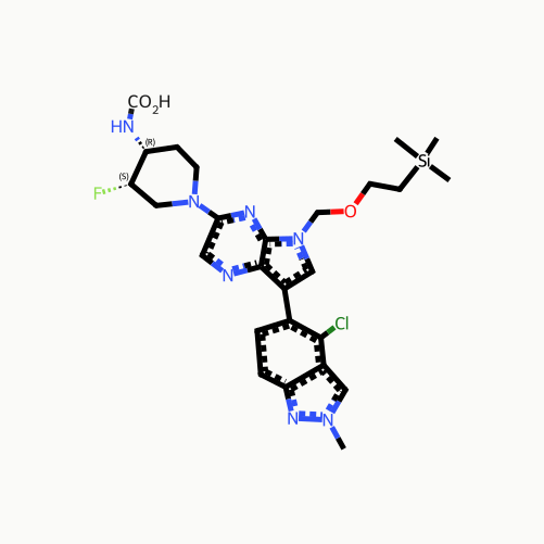 Cn1cc2c(Cl)c(-c3cn(COCC[Si](C)(C)C)c4nc(N5CC[C@@H](NC(=O)O)[C@@H](F)C5)cnc34)ccc2n1